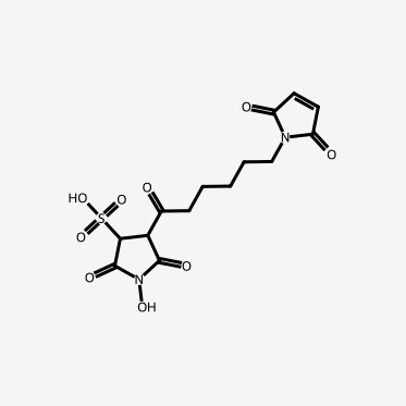 O=C(CCCCCN1C(=O)C=CC1=O)C1C(=O)N(O)C(=O)C1S(=O)(=O)O